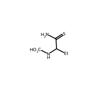 CCC(NC(=O)O)C(N)=S